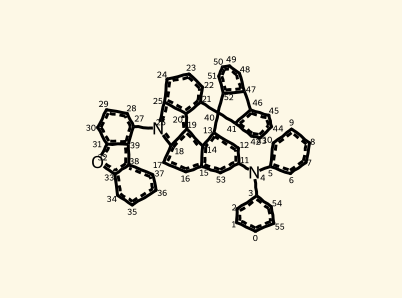 c1ccc(N(c2ccccc2)c2cc3c4c(ccc5c4c4c(cccc4n5-c4cccc5oc6ccccc6c45)C34c3ccccc3-c3ccccc34)c2)cc1